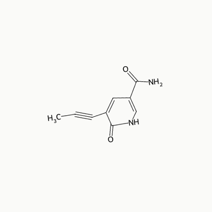 CC#Cc1cc(C(N)=O)c[nH]c1=O